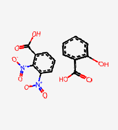 O=C(O)c1cccc([N+](=O)[O-])c1[N+](=O)[O-].O=C(O)c1ccccc1O